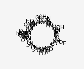 CCCC[C@H]1C(=O)N(C)[C@@H](CCCC)C(=O)N[C@@H](CC(C)C)C(=O)N[C@H](C(N)=O)C(C)(C)SCC(=O)N[C@@H](CCc2ccc(F)cc2)C(=O)N2CCCC[C@H]2C(=O)N[C@@H](CC(=O)O)C(=O)N2CCC[C@H]2C(=O)N[C@@H](Cc2cnc[nH]2)C(=O)N[C@@H](CCC(=O)O)C(=O)N2C[C@H](O)C[C@H]2C(=O)N[C@@H](Cc2c[nH]c3ccccc23)C(=O)N[C@@H](CCN)C(=O)N[C@@H](Cc2cn(CC(=O)NS(C)(=O)=O)c3ccccc23)C(=O)N1C